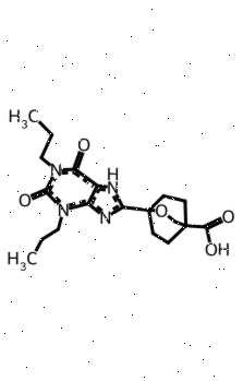 CCCn1c(=O)c2[nH]c(C34CCC(C(=O)O)(CC3)CO4)nc2n(CCC)c1=O